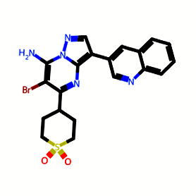 Nc1c(Br)c(C2CCS(=O)(=O)CC2)nc2c(-c3cnc4ccccc4c3)cnn12